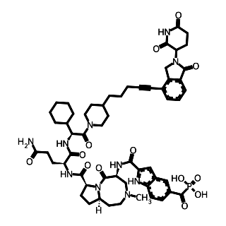 CN1CC[C@H]2CC[C@@H](C(=O)N[C@@H](CCC(N)=O)C(=O)N[C@H](C(=O)N3CCC(CCCC#Cc4cccc5c4CN(C4CCC(=O)NC4=O)C5=O)CC3)C3CCCCC3)N2C(=O)[C@@H](NC(=O)c2cc3cc(C(=O)P(=O)(O)O)ccc3[nH]2)C1